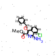 COC(=O)c1nc(N)c2c(Cl)cccc2c1OCc1ccccc1